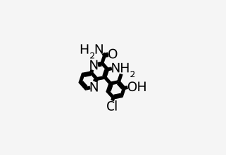 Cc1c(O)cc(Cl)cc1-c1c(N)c(C(N)=O)nc2cccnc12